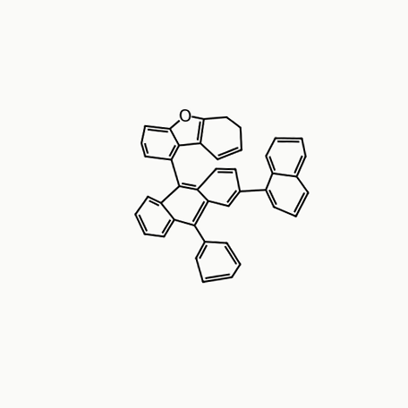 C1=Cc2c(oc3cccc(-c4c5ccccc5c(-c5ccccc5)c5cc(-c6cccc7ccccc67)ccc45)c23)CC1